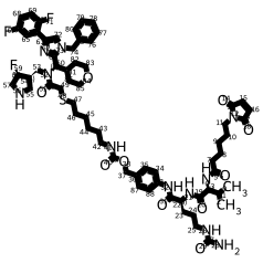 CC(C)[C@H](NC(=O)CCCCCN1C(=O)C=CC1=O)C(=O)N[C@@H](CCCNC(N)=O)C(=O)Nc1ccc(COC(=O)NCCCCCCSCC(=O)N(C[C@@H]2CNC[C@@H]2F)[C@@H](c2nc(-c3cc(F)ccc3F)cn2Cc2ccccc2)C2CCOCC2)cc1